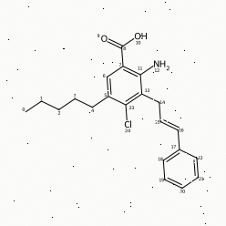 CCCCCc1cc(C(=O)O)c(N)c(CC=Cc2ccccc2)c1Cl